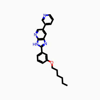 CCCCCCOc1cccc(-c2nc3cc(-c4cccnc4)cnc3[nH]2)c1